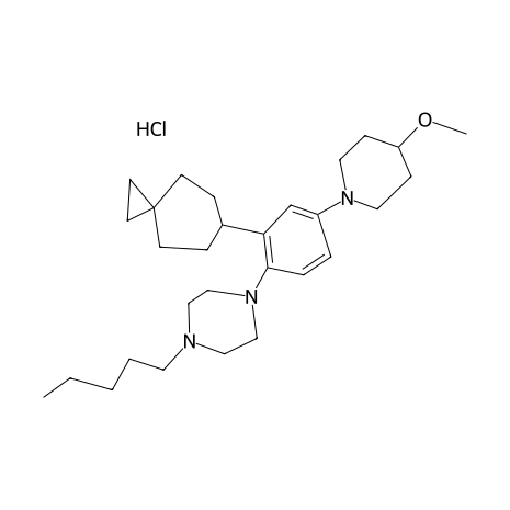 CCCCCN1CCN(c2ccc(N3CCC(OC)CC3)cc2C2CCC3(CC2)CC3)CC1.Cl